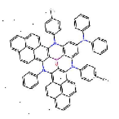 Cc1ccc(N2c3cc(N(c4ccccc4)c4ccccc4)cc4c3P3(=O)c5c2c2ccc6cccc7ccc(c5N(c5ccccc5)c5c3c(c3ccc8cccc9ccc5c3c89)N4c3ccc(C)cc3)c2c67)cc1